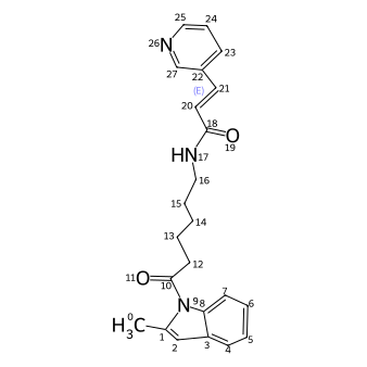 Cc1cc2ccccc2n1C(=O)CCCCCNC(=O)/C=C/c1cccnc1